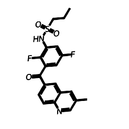 CCCS(=O)(=O)Nc1cc(F)cc(C(=O)c2ccc3ncc(C)cc3c2)c1F